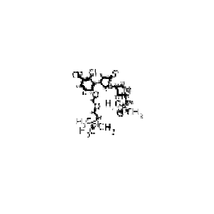 C[Si](C)(C)CCOCOc1ccc(Cl)c(Cl)c1[C@H]1CC(=S)N(c2cnn(CP(C)(C)=O)c2)C1